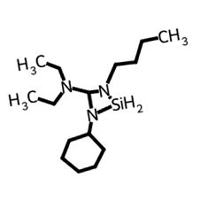 CCCCN1[SiH2]N(C2CCCCC2)C1N(CC)CC